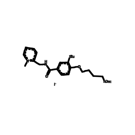 CCCCCCCCCCCCCCOc1ccc(C(=O)NCc2cccc[n+]2C)cc1C(C)(C)C.[I-]